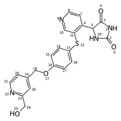 O=C1NC(=O)C(c2ccncc2Sc2ccc(OCc3ccnc(CO)c3)cc2)N1